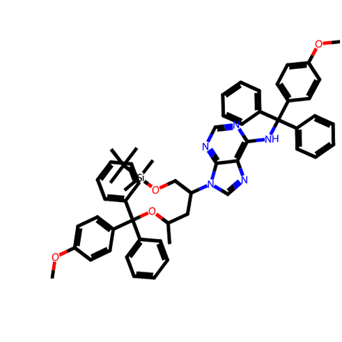 COc1ccc(C(Nc2ncnc3c2ncn3C(CO[Si](C)(C)C(C)(C)C)CC(C)OC(c2ccccc2)(c2ccccc2)c2ccc(OC)cc2)(c2ccccc2)c2ccccc2)cc1